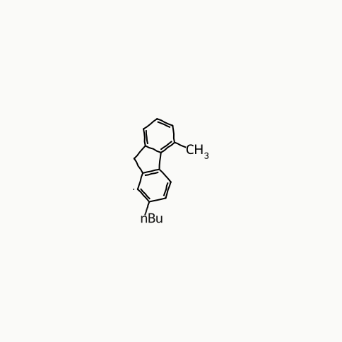 CCCCc1[c]c2c(cc1)-c1c(C)cccc1C2